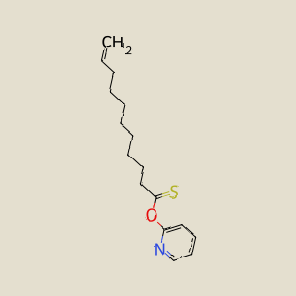 C=CCCCCCCCCC(=S)Oc1ccccn1